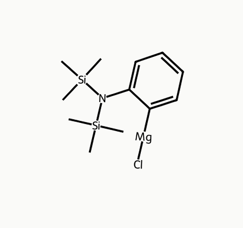 C[Si](C)(C)N(c1cccc[c]1[Mg][Cl])[Si](C)(C)C